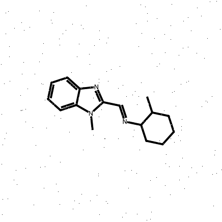 CC1CCCCC1/N=C/c1nc2ccccc2n1C